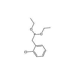 CCOP(Cc1ccccc1Cl)OCC